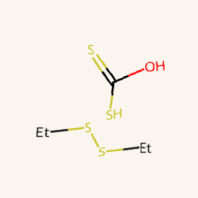 CCSSCC.OC(=S)S